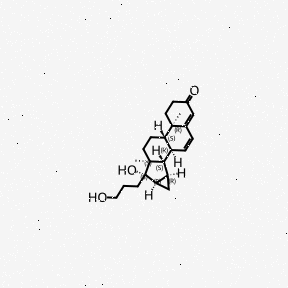 C[C@]12CCC(=O)C=C1C=C[C@H]1[C@@H]3[C@H]4C[C@H]4[C@@](O)(CCCO)[C@@]3(C)CC[C@@H]12